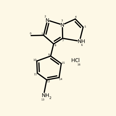 Cc1nn2cc[nH]c2c1-c1ccc(N)cc1.Cl